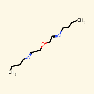 CCCCN=CCOCC=NCCCC